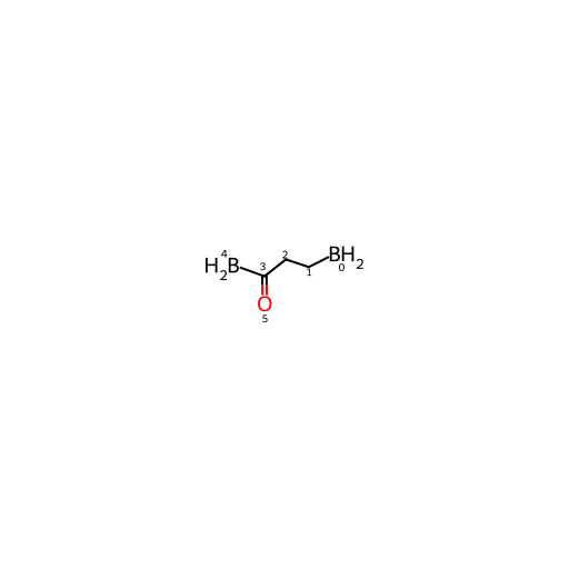 BCCC(B)=O